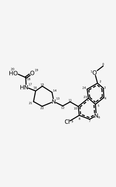 COc1ccc2ncc(Cl)c(CCN3CCC(NC(=O)O)CC3)c2c1